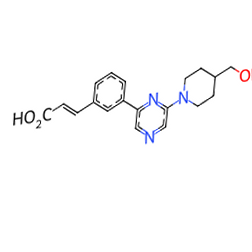 O=C(O)/C=C/c1cccc(-c2cncc(N3CCC(CO)CC3)n2)c1